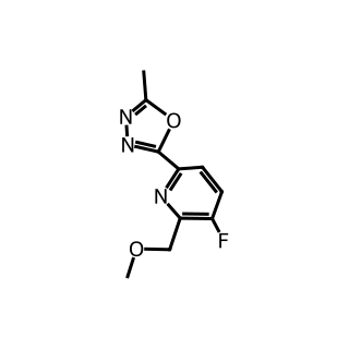 COCc1nc(-c2nnc(C)o2)ccc1F